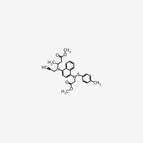 C#CCN(c1ccc(N(CC(=O)OC)Sc2ccc(C)cc2)c2ccccc12)C(C)CC(=O)OC